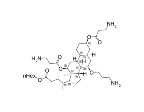 CCCCCCOC(=O)CC[C@@H](C)[C@H]1CC[C@H]2[C@@H]3[C@H](OCCCN)C[C@@H]4C[C@H](OC(=O)CCN)CC[C@]4(C)[C@H]3C[C@H](OC(=O)CCN)[C@]12C